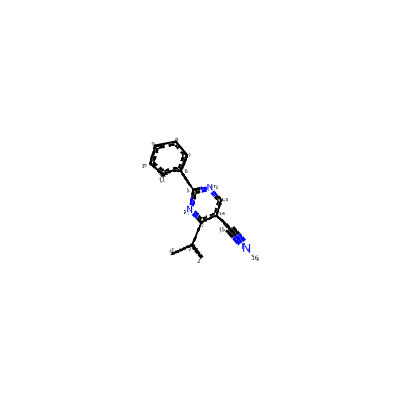 CC(C)c1nc(-c2ccccc2)ncc1C#N